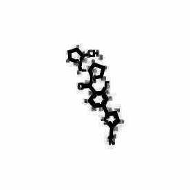 C[C@@H]1CCCN1C[C@@H]1CCCN1C(=O)c1ccc(-c2ccc(C#N)s2)cc1F